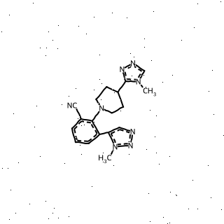 Cn1cnnc1C1CCN(c2c(C#N)cccc2-c2cnnn2C)CC1